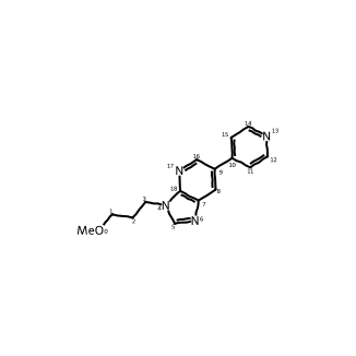 COCCCn1cnc2cc(-c3ccncc3)cnc21